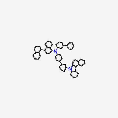 c1ccc(-c2cccc(N(c3ccc(-c4cccc(-n5c6ccccc6c6c7ccccc7ccc65)c4)cc3)c3ccc(-c4cccc5ccccc45)c4ccccc34)c2)cc1